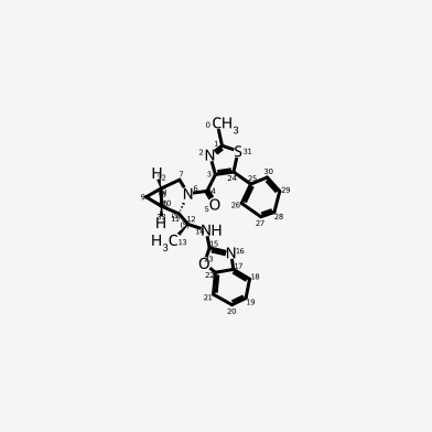 Cc1nc(C(=O)N2C[C@H]3C[C@H]3[C@H]2[C@H](C)Nc2nc3ccccc3o2)c(-c2ccccc2)s1